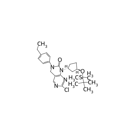 CCc1ccc(N2Cc3cnc(Cl)nc3N([C@@H]3CC[C@@H](O[Si](C)(C)C(C)(C)C)C3)C2=O)cc1